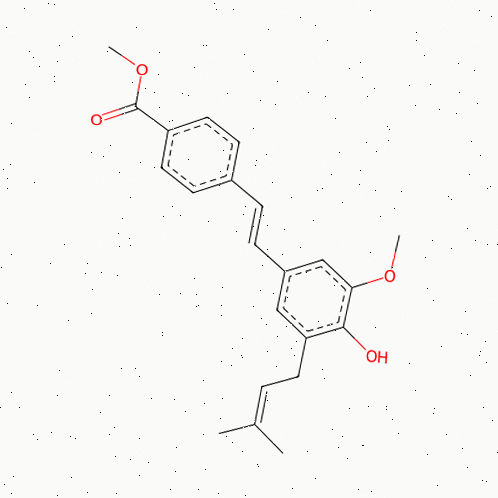 COC(=O)c1ccc(C=Cc2cc(CC=C(C)C)c(O)c(OC)c2)cc1